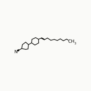 CCCCCCCCC=CC1CCC(C2CCC(C#N)CC2)CC1